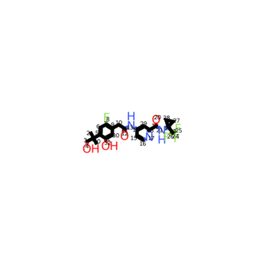 CC(C)(CO)c1cc(F)c(CC(=O)Nc2ccnc(C(=O)NC3(C(F)(F)F)CC3)c2)cc1O